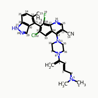 C=C(/C=C/CN(C)C)N1CCN(c2c(C#N)cnc3c(F)c(-c4c(C)ccc5[nH]ncc45)c(Cl)cc23)CC1